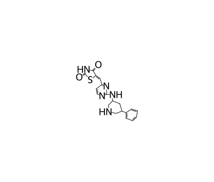 O=C1NC(=O)/C(=C/c2ccnc(NC3CNCC(c4ccccc4)C3)n2)S1